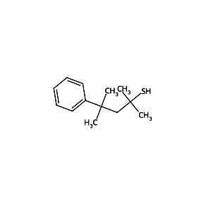 CC(C)(S)CC(C)(C)c1ccccc1